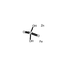 O=S(=O)(O)O.[Fe].[Zn]